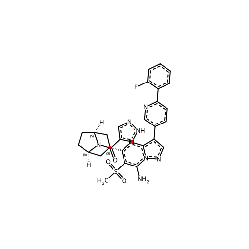 CS(=O)(=O)c1c([C@@H]2C[C@H]3CC[C@@H](C2)N3C(=O)c2cn[nH]n2)nc2c(-c3ccc(-c4ccccc4F)nc3)cnn2c1N